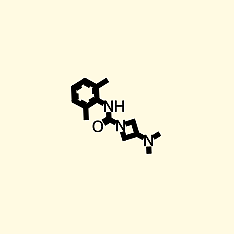 Cc1cccc(C)c1NC(=O)N1CC(N(C)C)C1